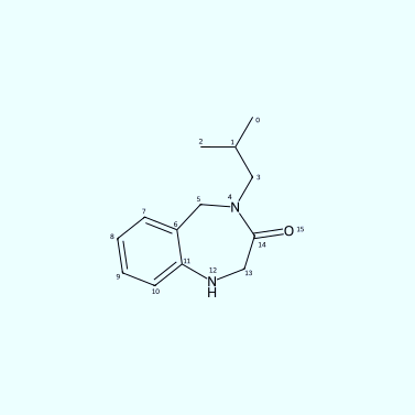 CC(C)CN1Cc2ccccc2NCC1=O